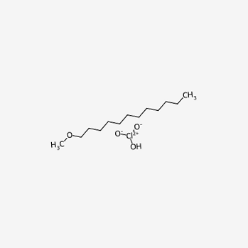 CCCCCCCCCCCCOC.[O-][Cl+2]([O-])O